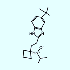 CC(C)[NH+]([O-])C1(CCc2nc3cc(C(C)(C)C)ccc3[nH]2)CCC1